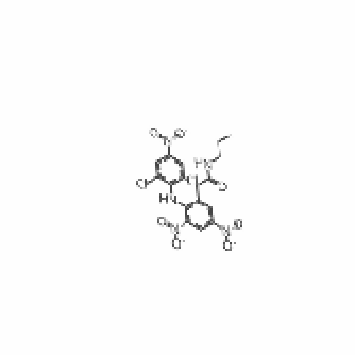 CCCNC(=O)Cc1cc([N+](=O)[O-])cc([N+](=O)[O-])c1Nc1c(Cl)cc([N+](=O)[O-])cc1Cl